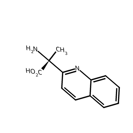 C[C@](N)(C(=O)O)c1ccc2ccccc2n1